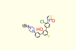 CC(C)(C)N1CCN(c2cccc(-c3cc(F)cc(-c4ccc(-n5ccsc5=O)c(Cl)c4)c3O)c2)CC1